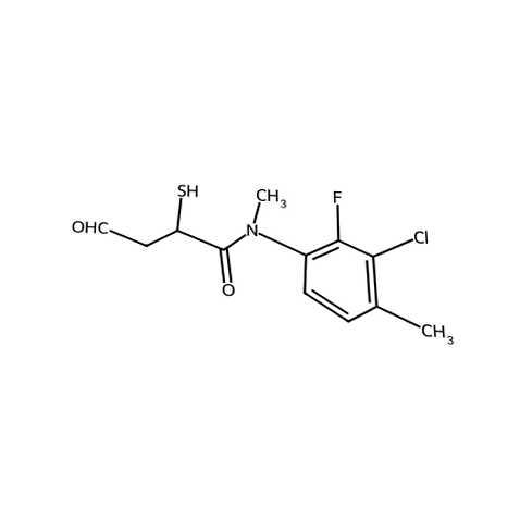 Cc1ccc(N(C)C(=O)C(S)CC=O)c(F)c1Cl